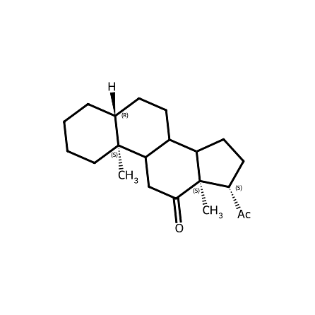 CC(=O)[C@H]1CCC2C3CC[C@H]4CCCC[C@]4(C)C3CC(=O)[C@@]21C